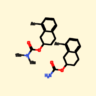 CC(=O)c1cccc2c1CC(OC(=O)N(C(C)(C)C)C(C)(C)C)CC2.CC(=O)c1cccc2c1CC(OC(N)=O)CC2